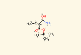 CC[C@@H](C(=O)OC(C)(C)C)C(N)O